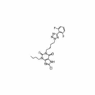 CCCCn1c(=O)n(CCCCn2nnc(-c3c(F)cccc3F)n2)c(=O)c2[nH]c(Cl)nc21